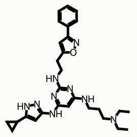 CCN(CC)CCCNc1cc(Nc2cc(C3CC3)[nH]n2)nc(NCCc2cc(-c3ccccc3)no2)n1